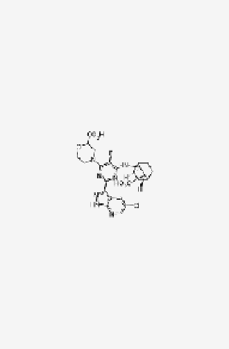 O=C(O)C1CN(c2nc(-c3n[nH]c4ncc(Cl)cc34)nc(N[C@H]3C4CCC(CC4)[C@@H]3C(=O)O)c2F)CCO1